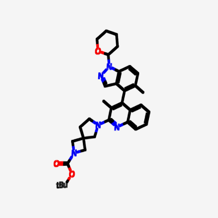 Cc1ccc2c(cnn2C2CCCCO2)c1-c1c(C)c(N2CCC3(CN(C(=O)OC(C)(C)C)C3)C2)nc2ccccc12